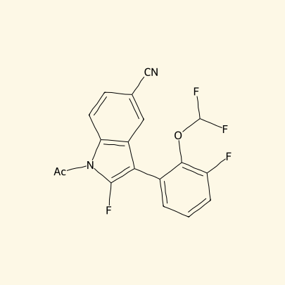 CC(=O)n1c(F)c(-c2cccc(F)c2OC(F)F)c2cc(C#N)ccc21